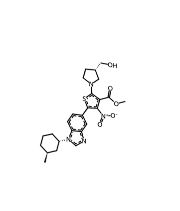 COC(=O)c1c(N2CC[C@H](CO)C2)sc(-c2ccc3c(c2)ncn3[C@H]2CCC[C@H](C)C2)c1[N+](=O)[O-]